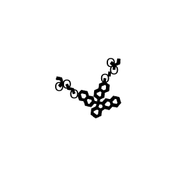 C=CC(=O)OCCOc1ccc2cc(C3(c4ccc5cc(OCCOC(=O)C=C)ccc5c4)c4ccccc4-c4cc5ccccc5cc43)ccc2c1